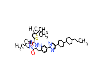 CCCC1CCC(C2CC=C(c3cnc(-c4ccc(CC(NC(=O)c5ccc(C(C)(C)C)s5)C(=O)NCC(C)C)cc4)nc3)CC2)CC1